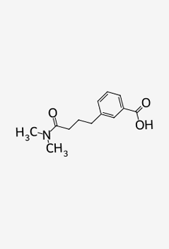 CN(C)C(=O)CCCc1cccc(C(=O)O)c1